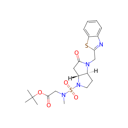 CN(CC(=O)OC(C)(C)C)S(=O)(=O)N1CC[C@H]2[C@H]1CC(=O)N2Cc1nc2ccccc2s1